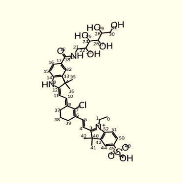 CC[N+]1=C(/C=C/C2=C(Cl)C(=C/C=C3/Nc4ccc(C(=O)NCC(O)C(O)C(O)C(O)CO)cc4C3(C)C)/CCC2)C(C)(C)c2cc(S(=O)(=O)O)ccc21